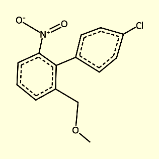 COCc1cccc([N+](=O)[O-])c1-c1ccc(Cl)cc1